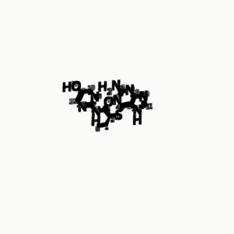 CC[C@H](Sc1nc(N)nc2nc[nH]c12)C(=O)Nc1ncc(O)cn1